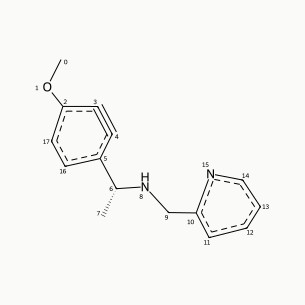 COc1c#cc([C@@H](C)NCc2ccccn2)cc1